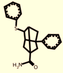 NC(=O)C12CC3C(Sc4ccccc4)C1CC3(c1ccccc1)C2